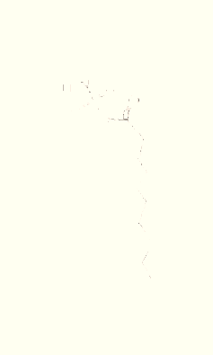 CCCCCCCCCC(=O)OS(N)(=O)=O